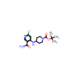 CC(C)(C)OC(=O)N1CCC(Nc2cc(Cl)ncc2C(N)=O)CC1